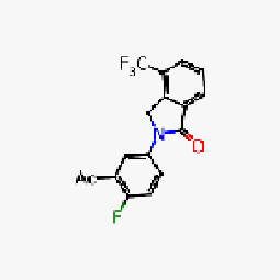 CC(=O)c1cc(N2Cc3c(cccc3C(F)(F)F)C2=O)ccc1F